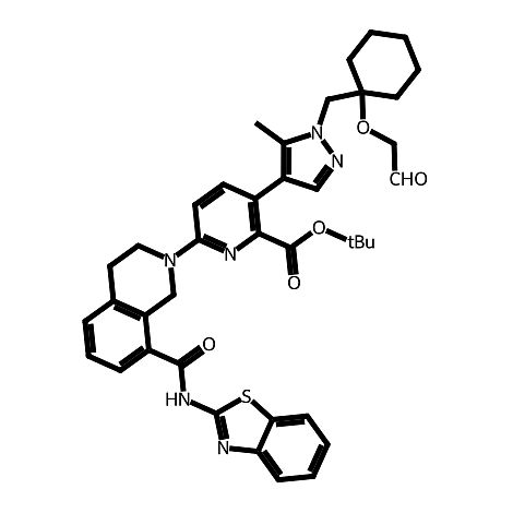 Cc1c(-c2ccc(N3CCc4cccc(C(=O)Nc5nc6ccccc6s5)c4C3)nc2C(=O)OC(C)(C)C)cnn1CC1(OCC=O)CCCCC1